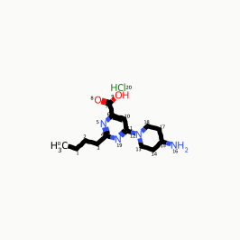 CCCCc1nc(C(=O)O)cc(N2CCC(N)CC2)n1.Cl